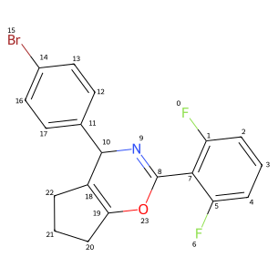 Fc1cccc(F)c1C1=NC(c2ccc(Br)cc2)C2=C(CCC2)O1